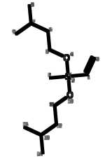 C=C[Si](C)(OCCC(C)C)OCCC(C)C